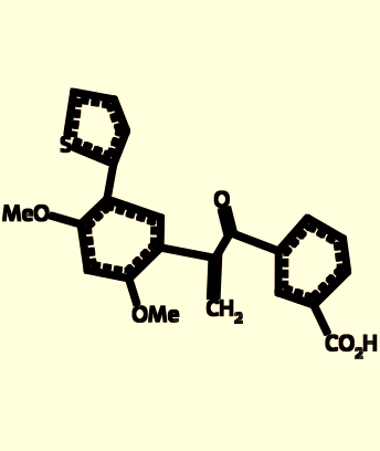 C=C(C(=O)c1cccc(C(=O)O)c1)c1cc(-c2cccs2)c(OC)cc1OC